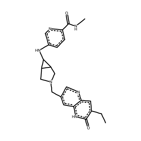 CCc1cc2ncc(CN3CC4C(C3)C4Nc3ccc(C(=O)NC)nc3)cc2[nH]c1=O